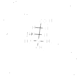 [2H]C([2H])(C(=O)O)C([2H])([2H])[Si](C)(C)C.[Na]